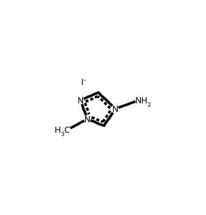 C[n+]1cn(N)cn1.[I-]